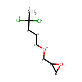 [SiH3]C(Cl)(Cl)CCCOCC1CO1